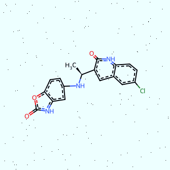 C[C@H](Nc1ccc2oc(=O)[nH]c2c1)c1cc2cc(Cl)ccc2[nH]c1=O